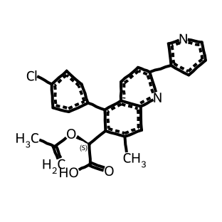 C=C(C)O[C@H](C(=O)O)c1c(C)cc2nc(-c3cccnc3)ccc2c1-c1ccc(Cl)cc1